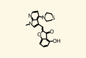 Cn1cc(C=C2Oc3cccc(O)c3C2=O)c2c(N3CCSCC3)ccnc21